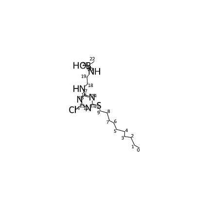 CCCCCCCCCCSc1nc(Cl)nc(NCCNB(C)O)n1